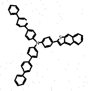 C=C(/C=C\C(=C/C)c1ccccc1)c1ccc(N(c2ccc(-c3ccc(-c4ccccc4)cc3)cc2)c2ccc(-c3cc4cc5ccccc5cc4s3)cc2)cc1